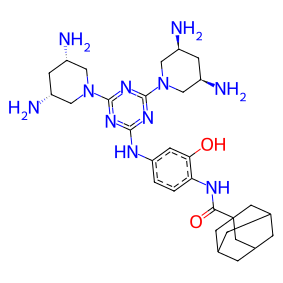 N[C@@H]1C[C@H](N)CN(c2nc(Nc3ccc(NC(=O)C45CC6CC(CC(C6)C4)C5)c(O)c3)nc(N3C[C@H](N)C[C@H](N)C3)n2)C1